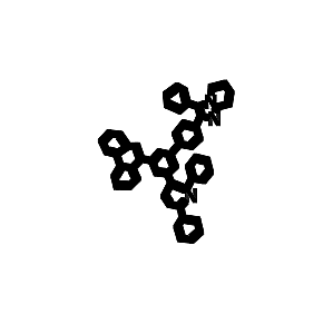 c1ccc(-c2ccc(-c3cc(-c4ccc(-c5nc6ccccn6c5-c5ccccc5)cc4)cc(-c4cc5ccccc5c5ccccc45)c3)c(-c3ccccc3)n2)cc1